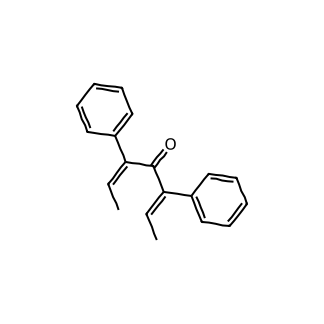 CC=C(C(=O)C(=CC)c1ccccc1)c1ccccc1